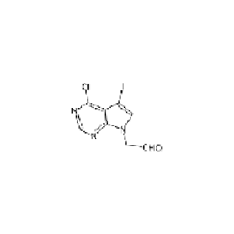 O=CCn1cc(I)c2c(Cl)ncnc21